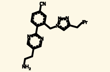 CC(C)Cc1cn(Cc2cc(C#N)ccc2-c2ncc(CCN)cn2)nn1